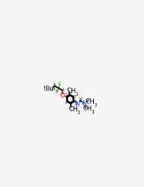 Cc1cc(OCC(F)(F)CC(C)(C)C)c(C)cc1/N=C/N(C)C